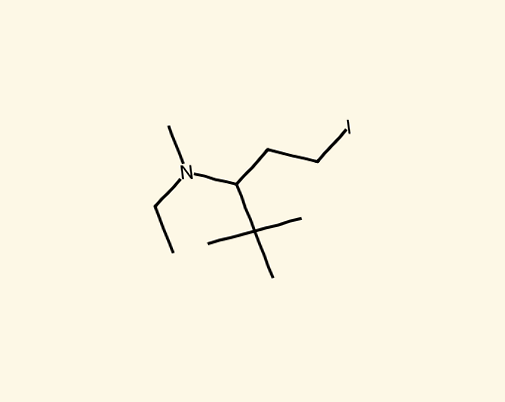 CCN(C)C(CCI)C(C)(C)C